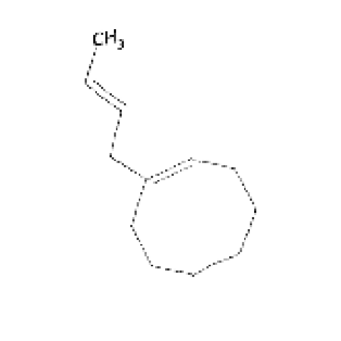 CC=CCC1=CCCCCCC1